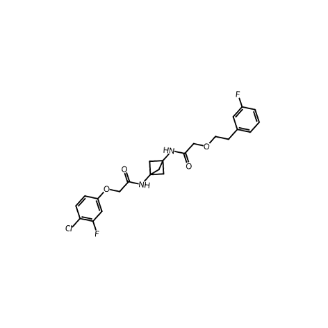 O=C(COCCc1cccc(F)c1)NC12CC(NC(=O)COc3ccc(Cl)c(F)c3)(C1)C2